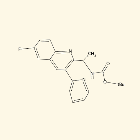 C[C@H](NC(=O)OC(C)(C)C)c1nc2ccc(F)cc2cc1-c1ccccn1